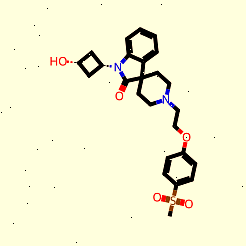 CS(=O)(=O)c1ccc(OCCN2CCC3(CC2)C(=O)N([C@H]2C[C@@H](O)C2)c2ccccc23)cc1